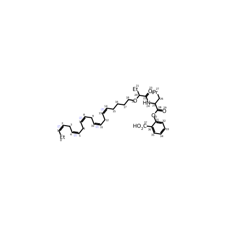 CC/C=C\C/C=C\C/C=C\C/C=C\C/C=C\CCCCOC(CC)C(=O)NC(CC(C)C)C(=O)Oc1ccccc1C(=O)O